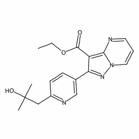 CCOC(=O)c1c(-c2ccc(CC(C)(C)O)nc2)nn2cccnc12